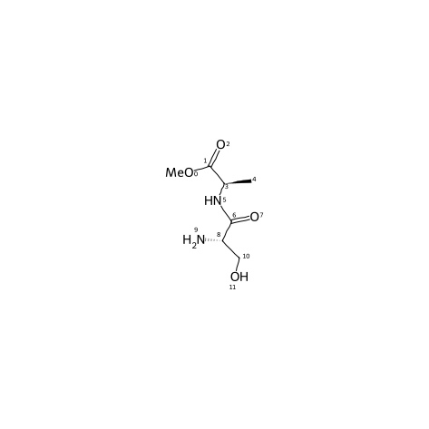 COC(=O)[C@@H](C)NC(=O)[C@@H](N)CO